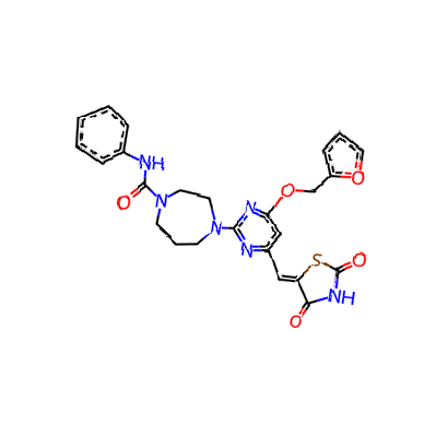 O=C1NC(=O)/C(=C/c2cc(OCc3ccco3)nc(N3CCCN(C(=O)Nc4ccccc4)CC3)n2)S1